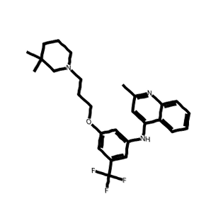 Cc1cc(Nc2cc(OCCCN3CCCC(C)(C)C3)cc(C(F)(F)F)c2)c2ccccc2n1